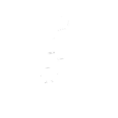 CN(C(=O)OCc1ncco1)c1ccc(Cl)cc1